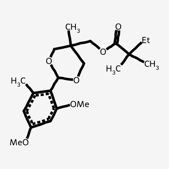 CCC(C)(C)C(=O)OCC1(C)COC(c2c(C)cc(OC)cc2OC)OC1